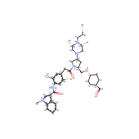 C[C@@H]1CN([C@H]2C[C@@H](CO[C@H]3CC[C@H](C=O)CC3)N(C(=O)Cc3cc(Cl)c(NC(=O)c4cn(C)c5ccccc45)cc3F)C2)C[C@H](C)N1CCF